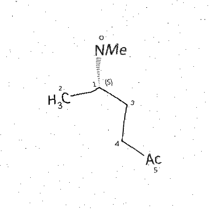 CN[C@@H](C)CCC(C)=O